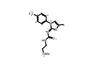 COCCNC(=O)/N=c1\sc(C)cn1-c1ccc(C(F)(F)F)cc1